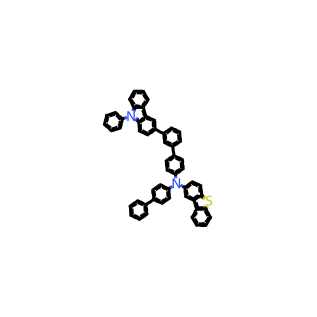 c1ccc(-c2ccc(N(c3ccc(-c4cccc(-c5ccc6c(c5)c5ccccc5n6-c5ccccc5)c4)cc3)c3ccc4sc5ccccc5c4c3)cc2)cc1